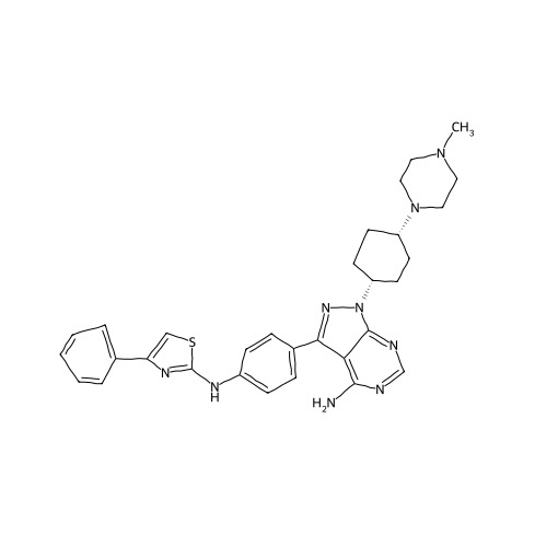 CN1CCN([C@H]2CC[C@@H](n3nc(-c4ccc(Nc5nc(-c6ccccc6)cs5)cc4)c4c(N)ncnc43)CC2)CC1